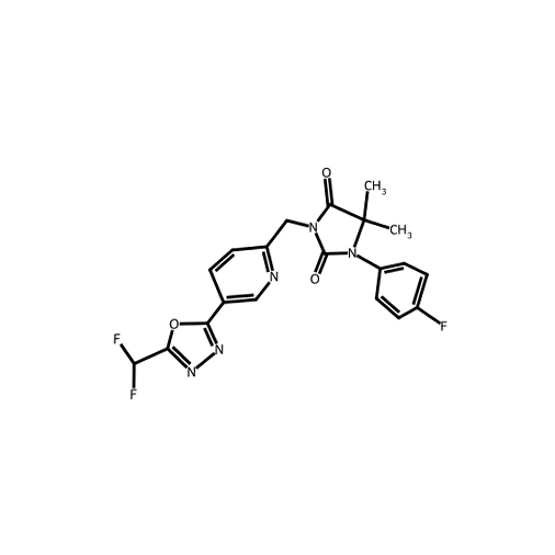 CC1(C)C(=O)N(Cc2ccc(-c3nnc(C(F)F)o3)cn2)C(=O)N1c1ccc(F)cc1